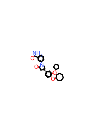 NC(=O)c1cccc(N2C[C@H](c3ccc(OC4CCCCCC4)c(OC4CCCC4)c3)CC2=O)c1